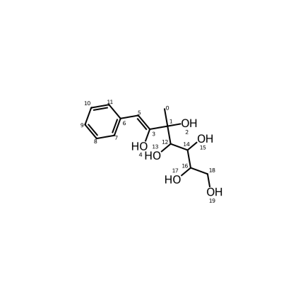 CC(O)(C(O)=Cc1ccccc1)C(O)C(O)C(O)CO